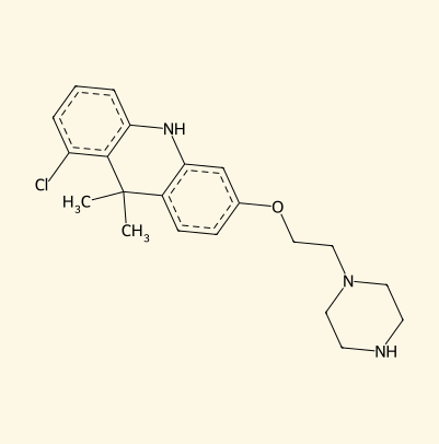 CC1(C)c2ccc(OCCN3CCNCC3)cc2Nc2cccc(Cl)c21